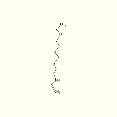 C=CNCCOCCCCOSC